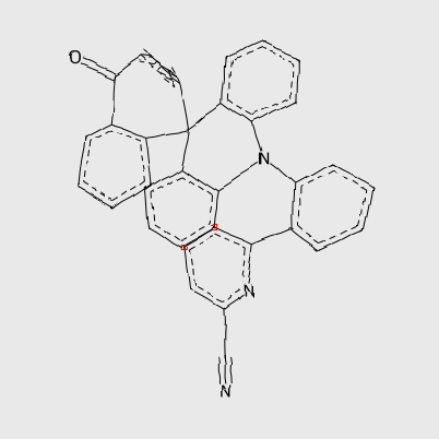 N#Cc1cccc(-c2ccccc2N2c3ccccc3C3(c4ccccc4C(=O)c4ccccc43)c3ccccc32)n1